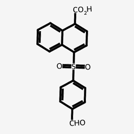 O=Cc1ccc(S(=O)(=O)c2ccc(C(=O)O)c3ccccc23)cc1